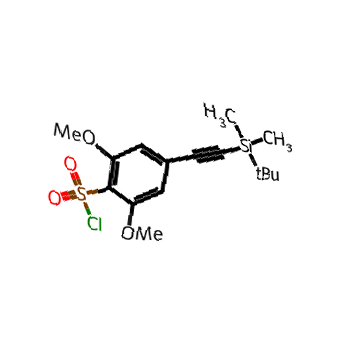 COc1cc(C#C[Si](C)(C)C(C)(C)C)cc(OC)c1S(=O)(=O)Cl